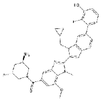 COc1cc(C(=O)N2C[C@H](N)C[C@@H](F)C2)cc2nc(-c3cc4ccc(-c5cccc(O)c5F)cc4n3CC3CC3)n(C)c12